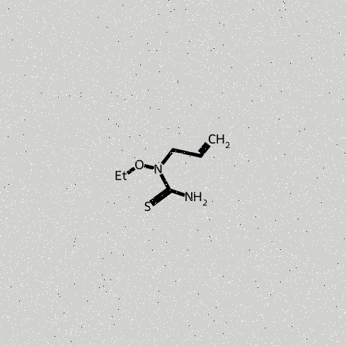 C=CCN(OCC)C(N)=S